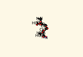 C/N=C/c1cncc(COc2cc(OCc3cccc(-c4cccc(COc5cc(OCc6cncc(C#N)c6)c(CNC(C(=O)O)C(C)C)cc5Cl)c4C)c3C)c(Cl)cc2CNC(C(=O)O)C(C)C)c1